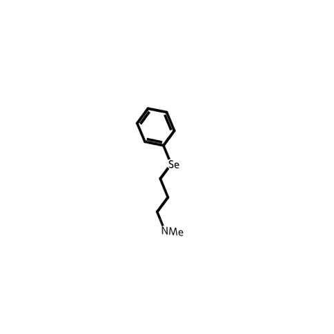 CNCCC[Se]c1ccccc1